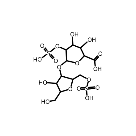 O=C(O)C1OC(OC2C(COS(=O)(=O)O)OC(CO)C2O)C(OS(=O)(=O)O)C(O)C1O